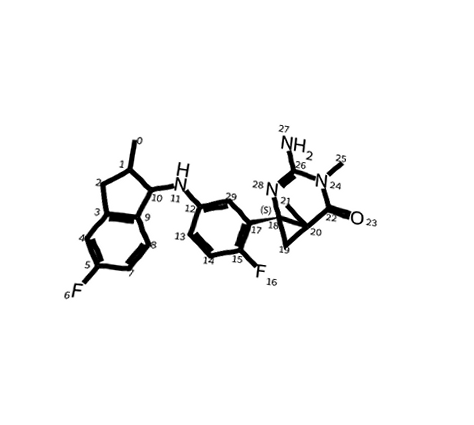 CC1Cc2cc(F)ccc2C1Nc1ccc(F)c([C@]23CC2(C)C(=O)N(C)C(N)=N3)c1